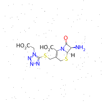 N[C@@H]1C(=O)N2C(C(=O)O)=C(CSc3nnnn3CC(=O)O)CS[C@H]12